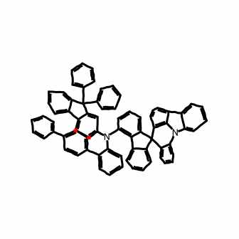 c1ccc(-c2ccc(-c3ccccc3N(c3ccc4c(c3)C(c3ccccc3)(c3ccccc3)c3ccccc3-4)c3cccc4c3-c3ccccc3C43c4ccccc4-n4c5ccccc5c5cccc3c54)cc2)cc1